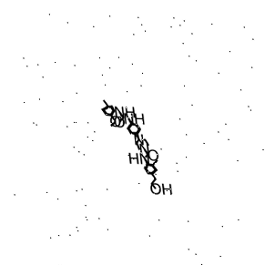 COc1ccc(C)cc1NC(=O)Nc1ccc(N2CCN(C(=O)Nc3ccc(CCO)cc3C)CC2)cc1